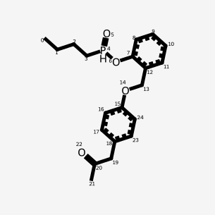 CCCC[PH](=O)Oc1ccccc1COc1ccc(CC(C)=O)cc1